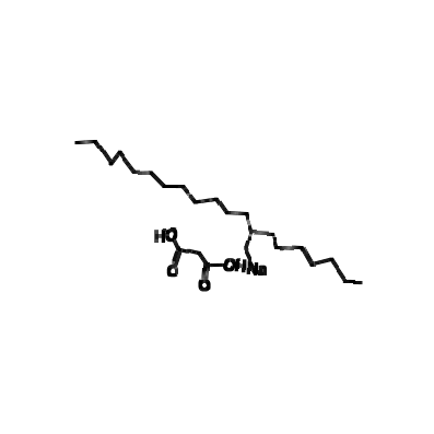 CCCCCCCCCCCCC([CH2][Na])CCCCCCC.O=C(O)CC(=O)O